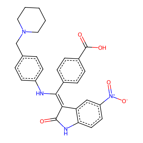 O=C1Nc2ccc([N+](=O)[O-])cc2/C1=C(/Nc1ccc(CN2CCCCC2)cc1)c1ccc(C(=O)O)cc1